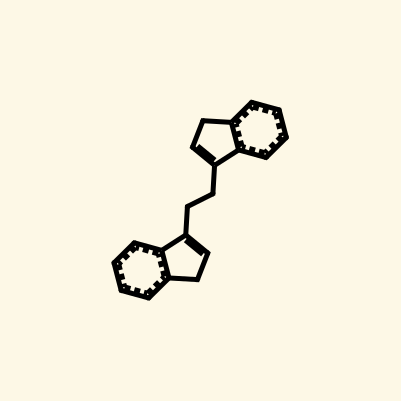 C1=C(CCC2=CCc3ccccc32)c2ccccc2C1